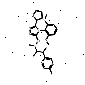 COc1cccc(OC)c1-n1c(N[S+]([O-])C(C)C(C)c2cnc(C)cn2)nnc1C1CCCO1